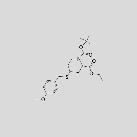 CCOC(=O)C1CC(SCc2ccc(OC)cc2)CCN1C(=O)OC(C)(C)C